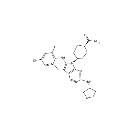 NC(=O)[C@H]1CC[C@@H](n2c(Nc3c(F)cc(Cl)cc3F)nc3cnc(N[C@@H]4CCOC4)nc32)CC1